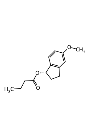 CCCC(=O)O[C@H]1CCc2cc(OC)ccc21